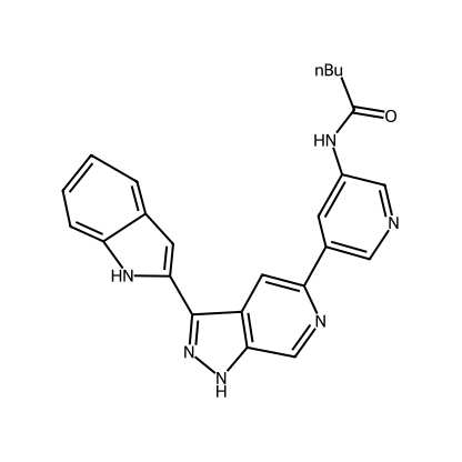 CCCCC(=O)Nc1cncc(-c2cc3c(-c4cc5ccccc5[nH]4)n[nH]c3cn2)c1